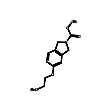 CCCCOC(=O)N1Cc2cnc(OCCOC)cc2C1